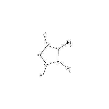 CCC1C(C)CC(C)C1CC